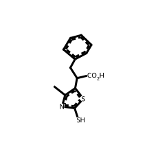 Cc1nc(S)sc1C(Cc1ccccc1)C(=O)O